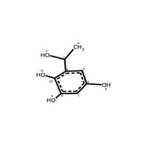 CC(O)c1cc(O)cc(O)c1O